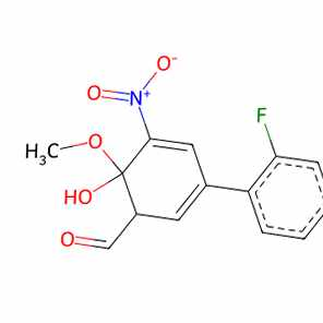 COC1(O)C([N+](=O)[O-])=CC(c2ccccc2F)=CC1C=O